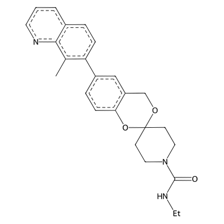 CCNC(=O)N1CCC2(CC1)OCc1cc(-c3ccc4cccnc4c3C)ccc1O2